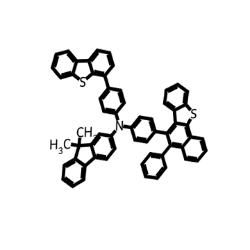 CC1(C)c2ccccc2-c2ccc(N(c3ccc(-c4cccc5c4sc4ccccc45)cc3)c3ccc(-c4c(-c5ccccc5)c5ccccc5c5sc6ccccc6c45)cc3)cc21